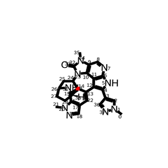 Cn1cc(-c2[nH]c3ncc4c(c3c2-c2ccc3c(cnn3C)c2)n(C2CC3CC[C@@H](C2)N3)c(=O)n4C)cn1